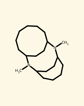 CN1C2CCCCCCC(CC2)N(C)C2CCCCC1CC2